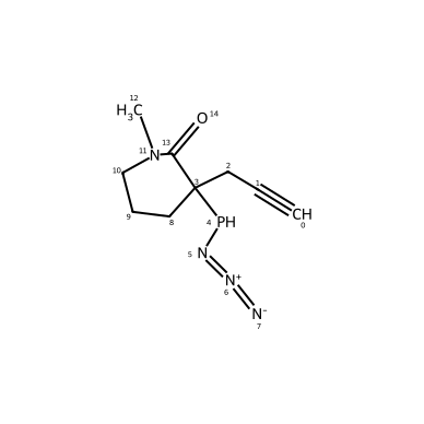 C#CCC1(PN=[N+]=[N-])CCCN(C)C1=O